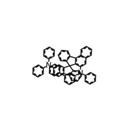 c1ccc(-c2cccc(N(c3ccccc3)c3cc4ccccc4c4c3C3(c5ccccc5-c5ccc(N(c6ccccc6)c6ccccc6)cc53)c3ccccc3-4)c2)cc1